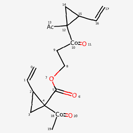 C=CC1C[C]1(C(=O)OC[CH2][Co](=[O])[C]1(C(C)=O)CC1C=C)[Co]([CH3])=[O]